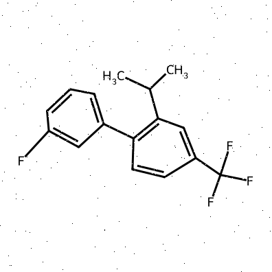 CC(C)c1cc(C(F)(F)F)ccc1-c1cccc(F)c1